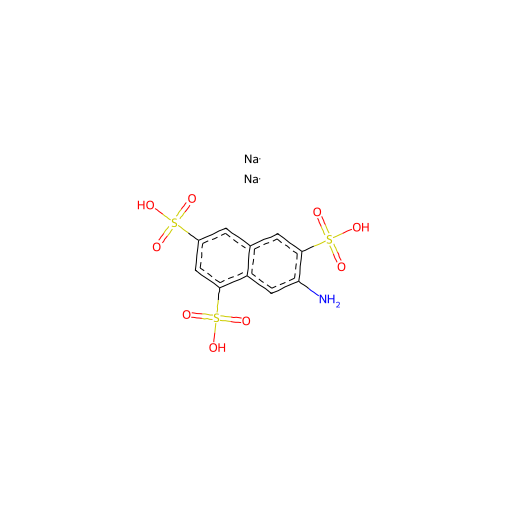 Nc1cc2c(S(=O)(=O)O)cc(S(=O)(=O)O)cc2cc1S(=O)(=O)O.[Na].[Na]